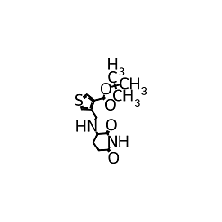 CC(C)(C)OC(=O)c1cscc1CNC1CCC(=O)NC1=O